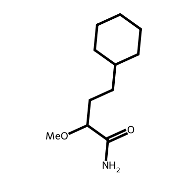 COC(CCC1CCCCC1)C(N)=O